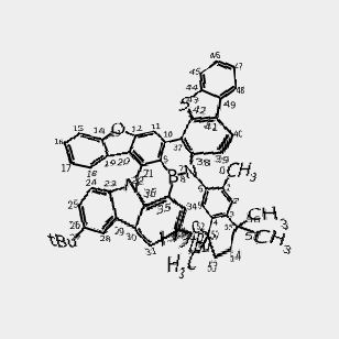 Cc1cc2c(cc1N1B3c4c(cc5oc6ccccc6c5c4-n4c5ccc(C(C)(C)C)cc5c5cc(C(C)(C)C)cc3c54)-c3c1ccc1c3sc3ccccc31)C(C)(C)CCC2(C)C